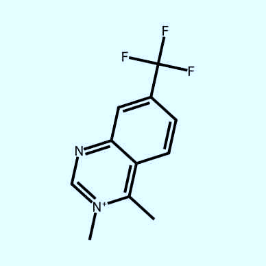 Cc1c2ccc(C(F)(F)F)cc2nc[n+]1C